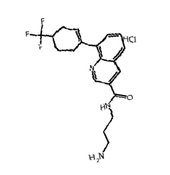 Cl.NCCCNC(=O)c1cnc2c(C3=CCC(C(F)(F)F)CC3)cccc2c1